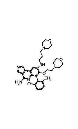 Cc1cccc(Cl)c1-c1c(OCCN2CCOCC2)c(NCCCN2CCOCC2)cc2c1nc(N)c1cncn12